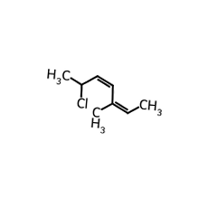 C/C=C(C)\C=C/C(C)Cl